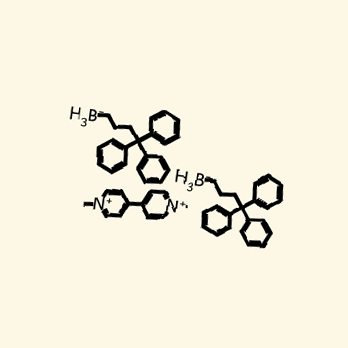 C[n+]1ccc(-c2cc[n+](C)cc2)cc1.[BH3-]CCCC(c1ccccc1)(c1ccccc1)c1ccccc1.[BH3-]CCCC(c1ccccc1)(c1ccccc1)c1ccccc1